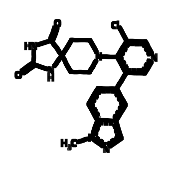 Cn1ncc2cc(-c3cncc(Cl)c3N3CCC4(CC3)NC(=O)NC4=O)ccc21